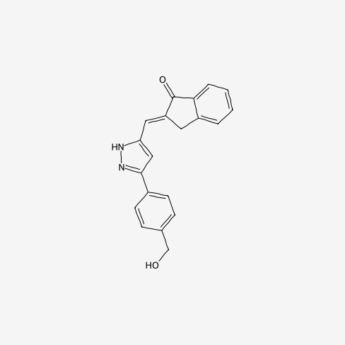 O=C1/C(=C/c2cc(-c3ccc(CO)cc3)n[nH]2)Cc2ccccc21